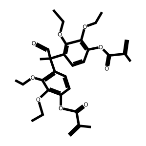 C=C(C)C(=O)Oc1ccc(C(C)(C=O)c2ccc(OC(=O)C(=C)C)c(OCC)c2OCC)c(OCC)c1OCC